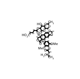 COc1cc([C@@H]2c3cc4c(cc3[C@@H](OC3OC5COC(C)OC5C(O)C3OC(=O)CCCC(=O)O)[C@H]3COC(=O)[C@H]23)OCO4)cc(OC)c1OC(=O)CN(C)C